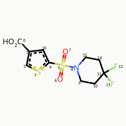 O=C(O)c1csc(S(=O)(=O)N2CCC(F)(F)CC2)c1